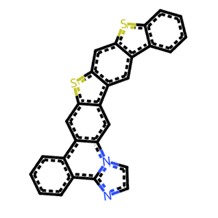 c1ccc2c(c1)sc1cc3sc4cc5c6ccccc6c6nccn6c5cc4c3cc12